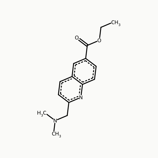 CCOC(=O)c1ccc2nc(CN(C)C)ccc2c1